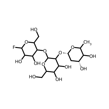 CC1O[C@@H](OC2C(OC3C(CO)OC(F)C(O)C3O)OC(CO)C(O)C2O)C[C@@H](O)C1O